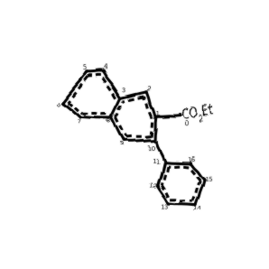 CCOC(=O)c1cc2ccccc2cc1-c1ccccc1